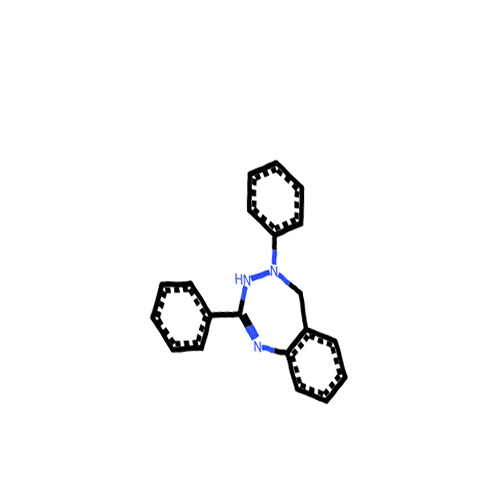 c1ccc(C2=Nc3ccccc3CN(c3ccccc3)N2)cc1